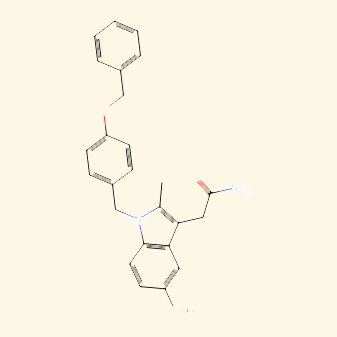 COc1ccc2c(c1)c(CC(N)=O)c(C)n2Cc1ccc(OCc2ccccc2)cc1